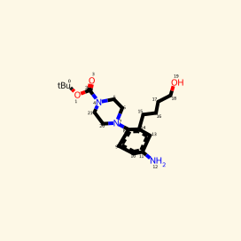 CC(C)(C)OC(=O)N1CCN(c2ccc(N)cc2CCCCO)CC1